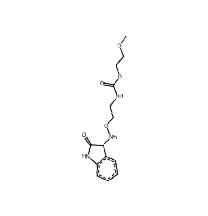 COCCOC(=O)NCCONC1C(=O)Nc2ccccc21